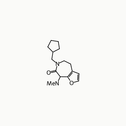 CNC1C(=O)N(CC2CCCC2)CCc2ccoc21